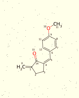 C=C1CCC(=Cc2ccc(OC)cc2)C1=O